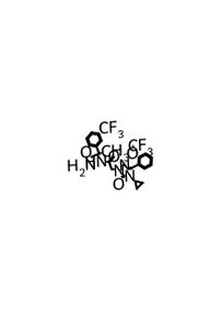 CC(NC(=O)Cn1nc(-c2ccccc2OC(F)(F)F)n(C2CC2)c1=O)(C(N)=O)c1cccc(C(F)(F)F)c1